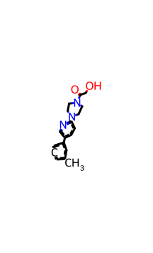 Cc1cccc(-c2ccc(N3CCN(C(=O)CO)CC3)nc2)c1